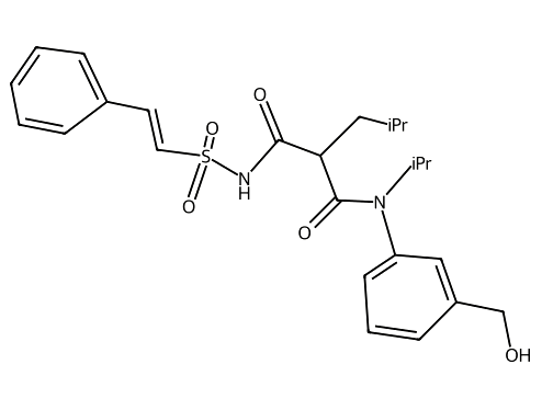 CC(C)CC(C(=O)NS(=O)(=O)C=Cc1ccccc1)C(=O)N(c1cccc(CO)c1)C(C)C